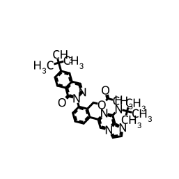 CC(=O)OCc1c(-c2cn3ccnc3c(NC(C)(C)C)n2)cccc1-n1ncc2cc(C(C)(C)C)ccc2c1=O